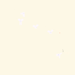 O=C(NCCF)[C@H]1CC[C@@H](Oc2ccc(-c3ccc(-c4nc5cc(F)ccc5[nH]4)cn3)cn2)CC1